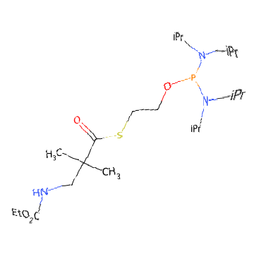 CCOC(=O)NCC(C)(C)C(=O)SCCOP(N(C(C)C)C(C)C)N(C(C)C)C(C)C